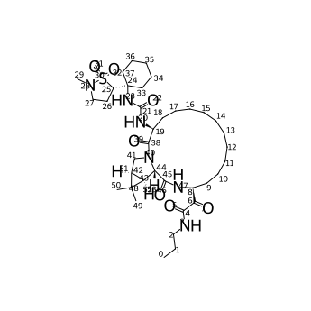 CCCNC(=O)C(=O)[C@@H]1CCCCCCCCCC[C@H](NC(=O)NC2([C@@H]3CCN(C)S3(=O)=O)CCCCC2)C(=O)N2C[C@H]3[C@@H]([C@H]2C(=O)N1)C3(C)C